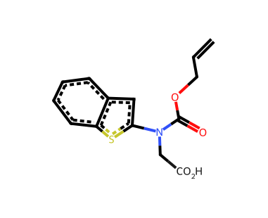 C=CCOC(=O)N(CC(=O)O)c1cc2ccccc2s1